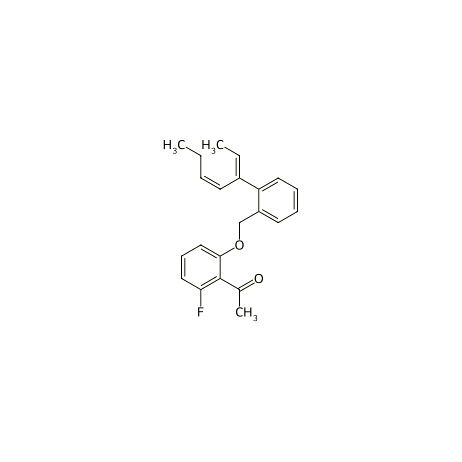 C/C=C(\C=C/CC)c1ccccc1COc1cccc(F)c1C(C)=O